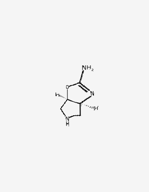 NC1=N[C@H]2CNC[C@H]2O1